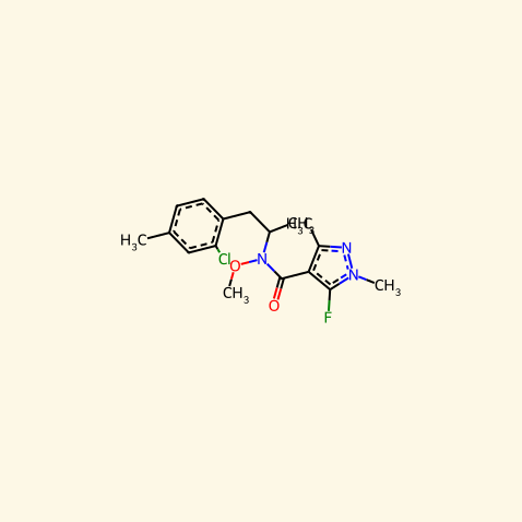 CON(C(=O)c1c(C)nn(C)c1F)C(C)Cc1ccc(C)cc1Cl